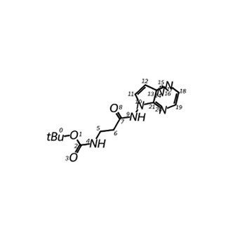 CC(C)(C)OC(=O)NCCC(=O)NN1C=CC23N=CCN2C=CN=C13